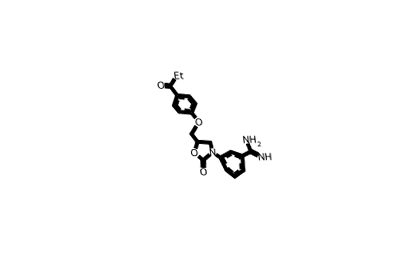 CCC(=O)c1ccc(OCC2CN(c3cccc(C(=N)N)c3)C(=O)O2)cc1